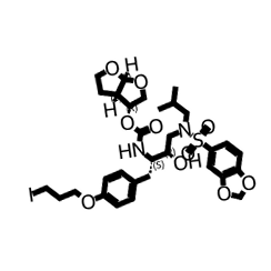 CC(C)CN(C[C@@H](O)[C@H](Cc1ccc(OCCCI)cc1)NC(=O)O[C@H]1CO[C@H]2OCC[C@H]21)S(=O)(=O)c1ccc2c(c1)OCO2